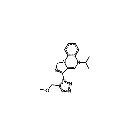 COCc1cnnn1C1=NCN2C1=CN(C(C)C)c1ccccc12